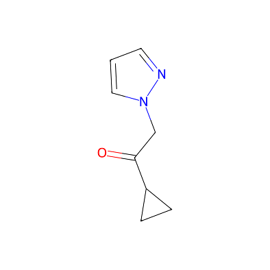 O=C(Cn1cccn1)C1CC1